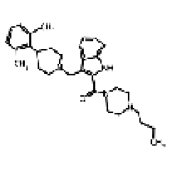 CCCCN1CCN(C(=O)c2[nH]c3ccccc3c2CN2CCC(c3c(C)cccc3C)CC2)CC1